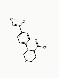 O=C(O)N1CCOC[C@H]1c1ccc(/C(Cl)=N/O)cc1